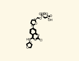 O=P(O)(O)CP(=O)(O)OC[C@@H]1CC[C@H](c2ccc3c(N[C@H]4CCOC4)nc(Cl)nc3c2)O1